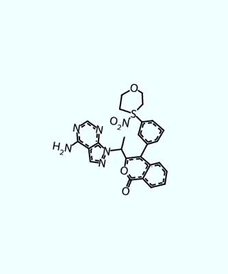 CC(c1oc(=O)c2ccccc2c1-c1cccc(S2([N+](=O)[O-])CCOCC2)c1)n1ncc2c(N)ncnc21